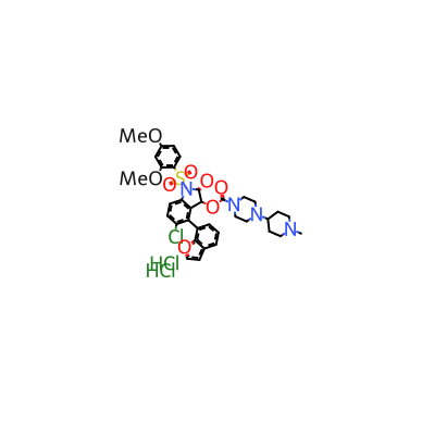 COc1ccc(S(=O)(=O)N2C(=O)C(OC(=O)N3CCN(C4CCN(C)CC4)CC3)c3c2ccc(Cl)c3-c2cccc3ccoc23)c(OC)c1.Cl.Cl